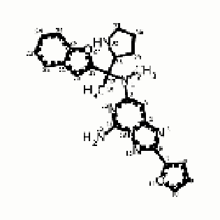 CN(c1cc2nc(-c3ccco3)nn2c(N)n1)C(C)(c1cc2ccccc2o1)C1CCCN1